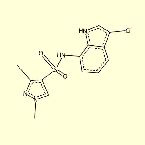 Cc1nn(C)cc1S(=O)(=O)Nc1cccc2c(Cl)c[nH]c12